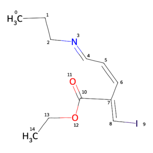 CCC/N=C/C=C\C(=C/I)C(=O)OCC